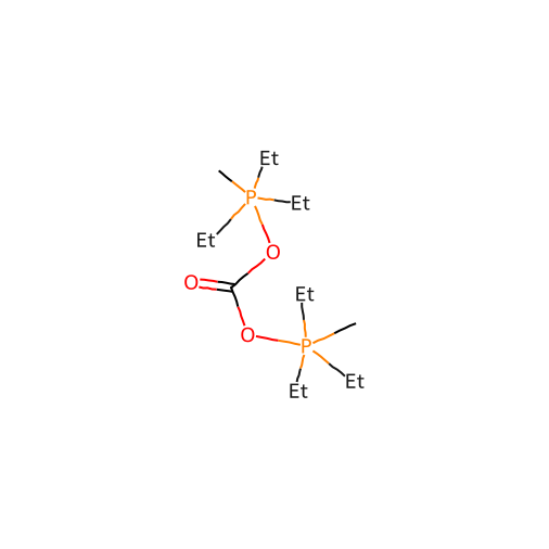 CCP(C)(CC)(CC)OC(=O)OP(C)(CC)(CC)CC